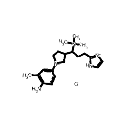 Cc1cc(N2CCC(C(CCC3=[N+]C=CN3)[Si](C)(C)C)C2)ccc1N.[Cl-]